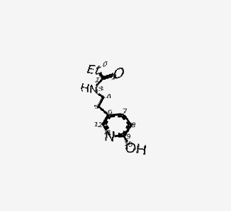 CCC(=O)NCCc1ccc(O)nc1